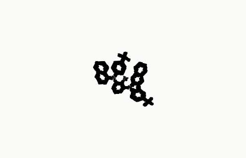 CC(C)(C)c1ccc(N(c2cccc(-n3c4ccc(C(C)(C)C)cc4c4cc5ccccc5cc43)c2Br)c2cccc3ccccc23)cc1